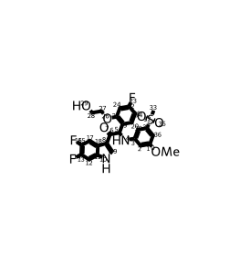 COc1cc(NC(C(=O)c2c[nH]c3cc(F)c(F)cc23)c2ccc(F)cc2OCCO)cc(S(C)(=O)=O)c1